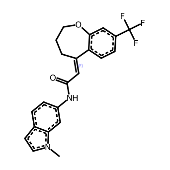 Cn1ccc2ccc(NC(=O)/C=C3\CCCOc4cc(C(F)(F)F)ccc43)cc21